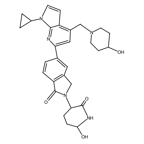 O=C1NC(O)CCC1N1Cc2cc(-c3cc(CN4CCC(O)CC4)c4ccn(C5CC5)c4n3)ccc2C1=O